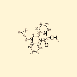 CC(C(=O)N1CCN(CC2CC2)c2ccccc21)N1CCCCC1